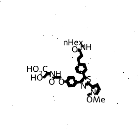 CCCCCCNC(=O)C=Cc1ccc(-c2sc(-c3cccn3COC)nc2-c2ccc(OCC(=O)N[C@@H](CO)C(=O)O)cc2)cc1